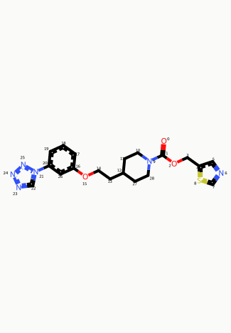 O=C(OCc1cncs1)N1CCC(CCOc2cccc(-n3cnnn3)c2)CC1